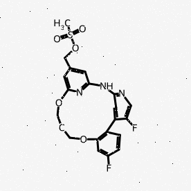 CS(=O)(=O)OCc1cc2nc(c1)OCCCOc1cc(F)ccc1-c1cc(ncc1F)N2